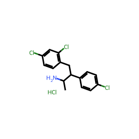 CC(N)C(Cc1ccc(Cl)cc1Cl)c1ccc(Cl)cc1.Cl